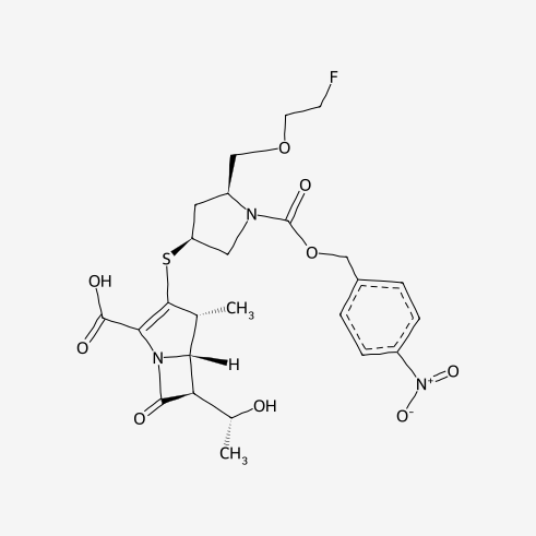 C[C@@H](O)[C@H]1C(=O)N2C(C(=O)O)=C(S[C@H]3C[C@@H](COCCF)N(C(=O)OCc4ccc([N+](=O)[O-])cc4)C3)[C@H](C)[C@H]12